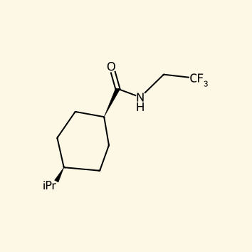 CC(C)[C@H]1CC[C@@H](C(=O)NCC(F)(F)F)CC1